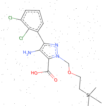 C[Si](C)(C)CCOCn1nc(-c2cccc(Cl)c2Cl)c(N)c1C(=O)O